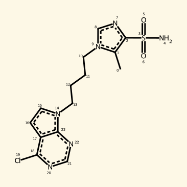 Cc1c(S(N)(=O)=O)ncn1CCCCn1ccc2c(Cl)ncnc21